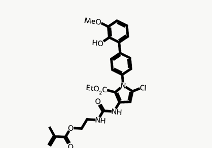 C=C(C)C(=O)OCCNC(=O)Nc1cc(Cl)n(-c2ccc(-c3cccc(OC)c3O)cc2)c1C(=O)OCC